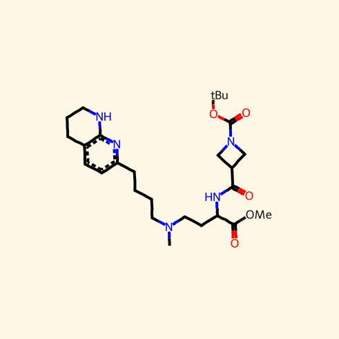 COC(=O)C(CCN(C)CCCCc1ccc2c(n1)NCCC2)NC(=O)C1CN(C(=O)OC(C)(C)C)C1